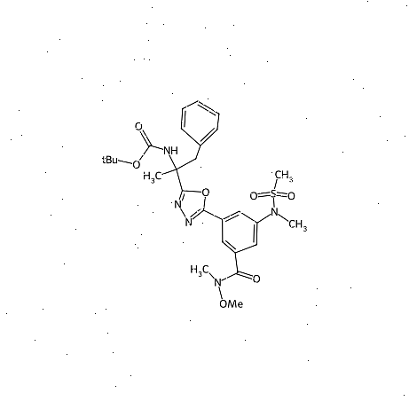 CON(C)C(=O)c1cc(-c2nnc(C(C)(Cc3ccccc3)NC(=O)OC(C)(C)C)o2)cc(N(C)S(C)(=O)=O)c1